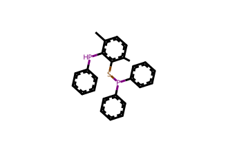 Cc1ccc(C)c(SP(c2ccccc2)c2ccccc2)c1Pc1ccccc1